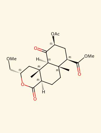 COC[C@@H]1C[C@]2(C)[C@H]3C(=O)[C@@H](OC(C)=O)C[C@@H](C(=O)OC)[C@]3(C)CC[C@H]2C(=O)O1